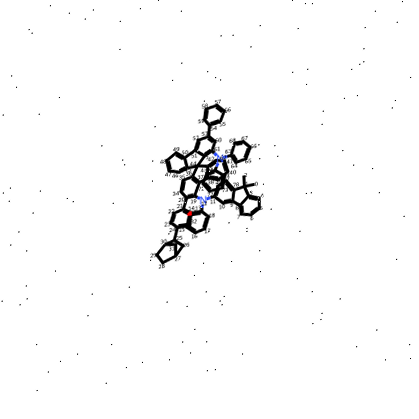 CC1(C)c2ccccc2-c2cc(N(c3ccccc3)c3c(-c4ccc(C5CC6CCC5C6)cc4)ccc4c3-c3ccccc3C43c4ccccc4-c4cc(-c5ccccc5)cc(N(c5ccccc5)c5ccccc5)c43)ccc21